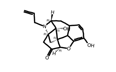 C=CCN1[C@@H]2CC3C=CC(O)=C4O[C@H]5C(=O)C[C@@]16C[C@@]5(C43)[C@]26O